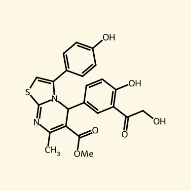 COC(=O)C1=C(C)N=C2SC=C(c3ccc(O)cc3)N2C1c1ccc(O)c(C(=O)CO)c1